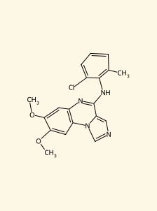 COc1cc2nc(Nc3c(C)cccc3Cl)c3cncn3c2cc1OC